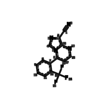 N#Cc1ncn2c(-c3ccccc3C(F)(F)F)ccnc12